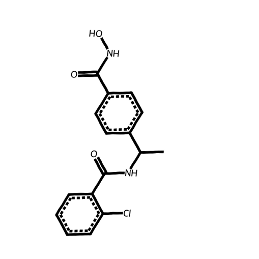 CC(NC(=O)c1ccccc1Cl)c1ccc(C(=O)NO)cc1